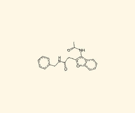 CC(=O)Nc1c(CC(=O)NCc2ccccc2)oc2ccccc12